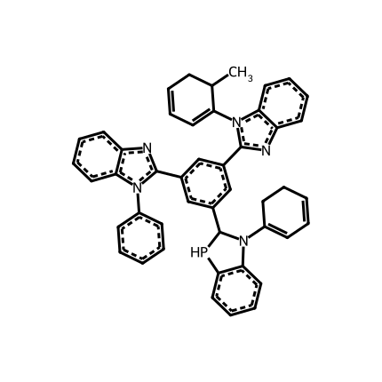 CC1CC=CC=C1n1c(-c2cc(-c3nc4ccccc4n3-c3ccccc3)cc(C3Pc4ccccc4N3C3=CC=CCC3)c2)nc2ccccc21